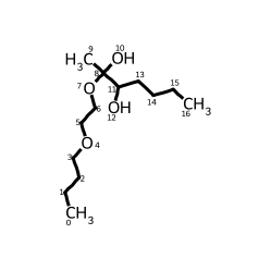 CCCCOCCOC(C)(O)C(O)CCCC